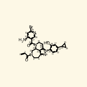 C=CC(=O)N1CCc2nn(-c3ccc(C4CC4)cc3O)c3c2C(C1)N(C(=O)c1cnc(Br)cc1N)CC3